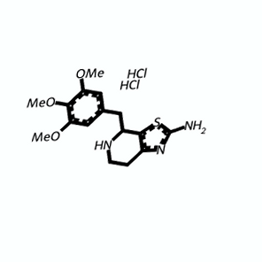 COc1cc(CC2NCCc3nc(N)sc32)cc(OC)c1OC.Cl.Cl